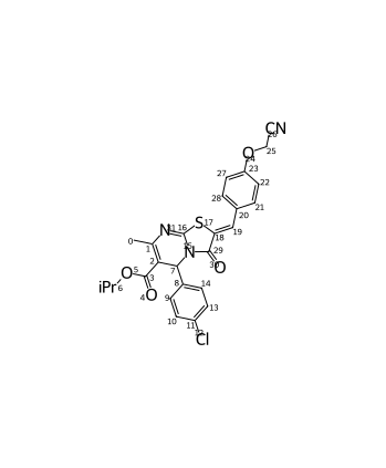 CC1=C(C(=O)OC(C)C)C(c2ccc(Cl)cc2)n2c(s/c(=C\c3ccc(OCC#N)cc3)c2=O)=N1